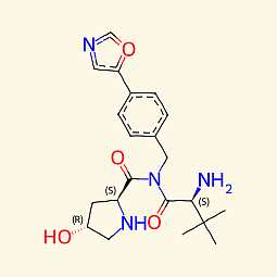 CC(C)(C)[C@H](N)C(=O)N(Cc1ccc(-c2cnco2)cc1)C(=O)[C@@H]1C[C@@H](O)CN1